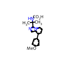 COc1ccc(-c2cccn3c(C(C)(C)NC(=O)O)ncc23)cc1